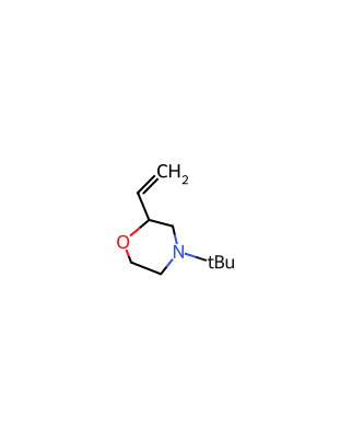 C=CC1CN(C(C)(C)C)CCO1